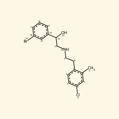 Cc1cc(Cl)ccc1CCNCC(O)c1cccc(Br)c1